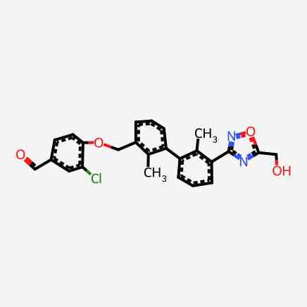 Cc1c(COc2ccc(C=O)cc2Cl)cccc1-c1cccc(-c2noc(CO)n2)c1C